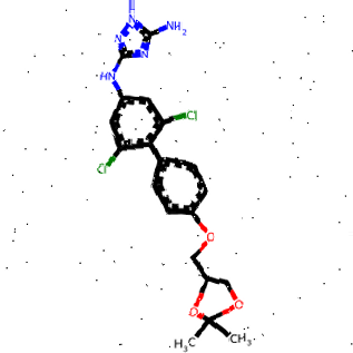 CC1(C)OCC(COc2ccc(-c3c(Cl)cc(Nc4n[nH]c(N)n4)cc3Cl)cc2)O1